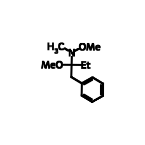 CCC(Cc1ccccc1)(OC)N(C)OC